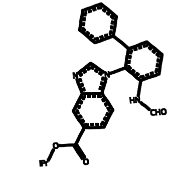 CC(C)OC(=O)c1ccc2c(c1)ncn2-c1c(NC=O)cccc1-c1ccccc1